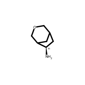 N[C@@H]1CC2COCC1C2